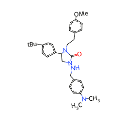 COc1ccc(CCN2C(=O)N(NCc3ccc(N(C)C)cc3)CC2c2ccc(C(C)(C)C)cc2)cc1